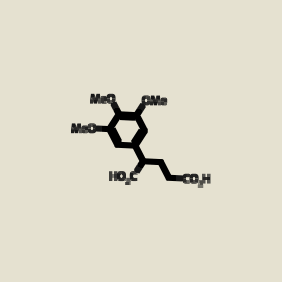 COc1cc(C(CCC(=O)O)C(=O)O)cc(OC)c1OC